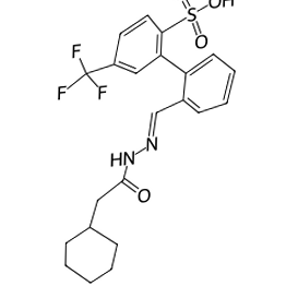 O=C(CC1CCCCC1)NN=Cc1ccccc1-c1cc(C(F)(F)F)ccc1S(=O)(=O)O